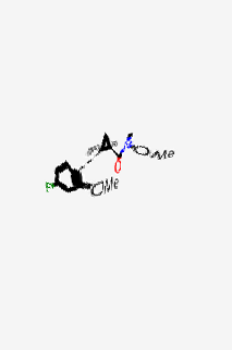 COc1cc(F)ccc1[C@@H]1C[C@H]1C(=O)N(C)OC